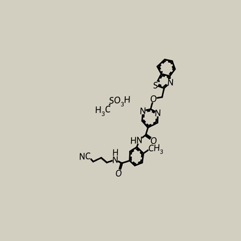 CS(=O)(=O)O.Cc1ccc(C(=O)NCCCC#N)cc1NC(=O)c1cnc(OCc2nc3ccccc3s2)nc1